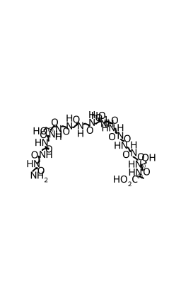 C[C@H](NC(=O)[C@H](CO)NC(=O)CNC(=O)CNC(=O)CNC(=O)CNC(=O)[C@H](CO)NC(=O)CNC(=O)CNC(=O)CNC(=O)CNC(=O)[C@H](CO)NC(=O)CNC(=O)CNC(=O)CNC(=O)CN)C(=O)O